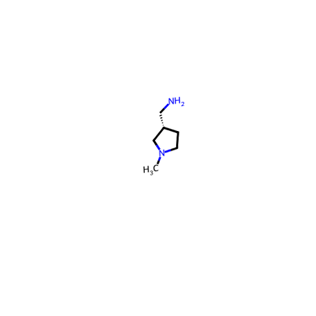 CN1CC[C@@H](CN)C1